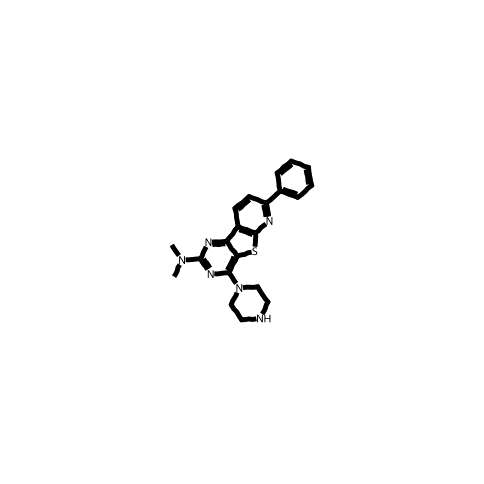 CN(C)c1nc(N2CCNCC2)c2sc3nc(-c4ccccc4)ccc3c2n1